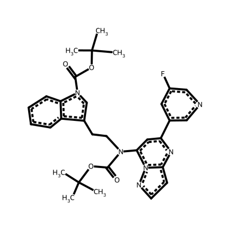 CC(C)(C)OC(=O)N(CCc1cn(C(=O)OC(C)(C)C)c2ccccc12)c1cc(-c2cncc(F)c2)nc2ccnn12